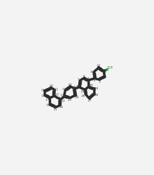 Fc1ccc(-c2ccc(-c3ccc(-c4cccc5ccccc45)cc3)c3ccccc23)cc1